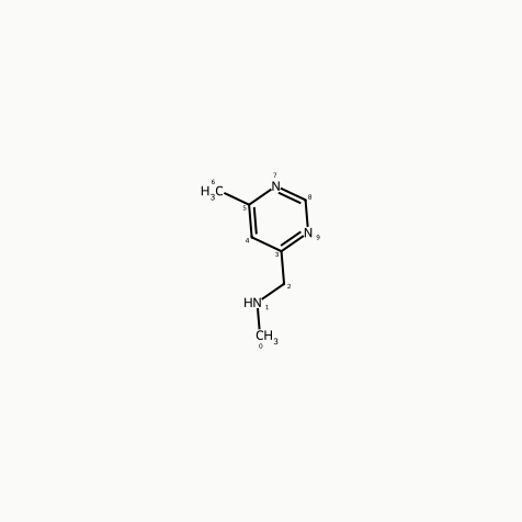 CNCc1cc(C)ncn1